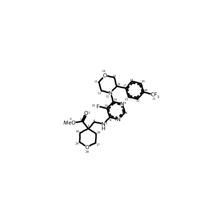 COC(=O)C1(CNc2ncnc(N3CCOCC3c3ccc(C(F)(F)F)cc3)c2F)CCOCC1